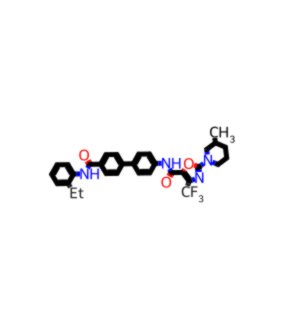 CCc1ccccc1NC(=O)c1ccc(-c2ccc(NC(=O)c3oc(N4CCCC(C)C4)nc3C(F)(F)F)cc2)cc1